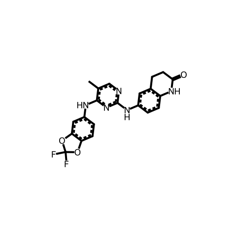 Cc1cnc(Nc2ccc3c(c2)CCC(=O)N3)nc1Nc1ccc2c(c1)OC(F)(F)O2